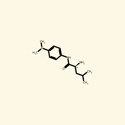 CC(C)C[C@H](N)C(=O)Nc1ccc(N(C)C)cc1